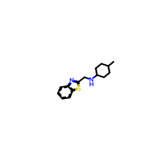 CC1CCC(NCc2nc3ccccc3s2)CC1